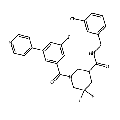 O=C(NCc1cccc(Cl)c1)C1CN(C(=O)c2cc(F)cc(-c3ccncc3)c2)CC(F)(F)C1